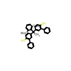 COc1cccc(OC)c1C(C)(c1ccc(S)c(-c2ccccc2)c1)c1ccc(S)c(-c2ccccc2)c1